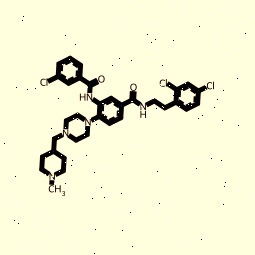 CN1CCC(CN2CCN(c3ccc(C(=O)NCCc4ccc(Cl)cc4Cl)cc3NC(=O)c3cccc(Cl)c3)CC2)CC1